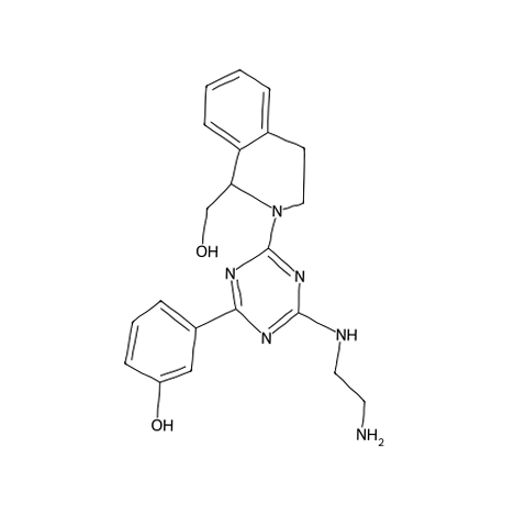 NCCNc1nc(-c2cccc(O)c2)nc(N2CCc3ccccc3C2CO)n1